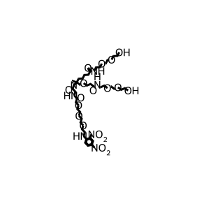 O=C(CCCCC1(COCCC(=O)NCCOCCOCCO)CN1C(=O)CNC(=O)COCCOCCOCCNc1ccc([N+](=O)[O-])cc1[N+](=O)[O-])NCCOCCOCCO